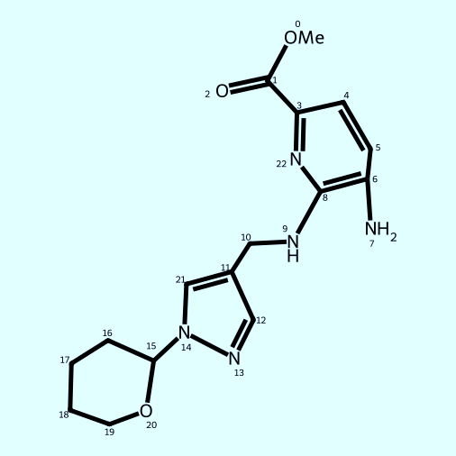 COC(=O)c1ccc(N)c(NCc2cnn(C3CCCCO3)c2)n1